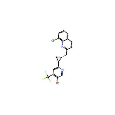 FC(F)(F)c1cc(C2C[C@@H]2Cc2ccc3cccc(Cl)c3n2)ncc1Br